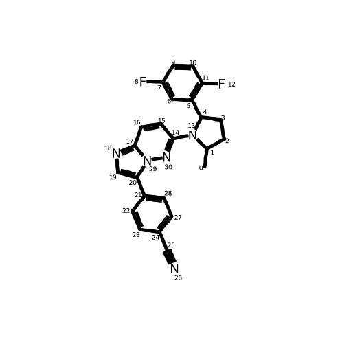 CC1CCC(c2cc(F)ccc2F)N1c1ccc2ncc(-c3ccc(C#N)cc3)n2n1